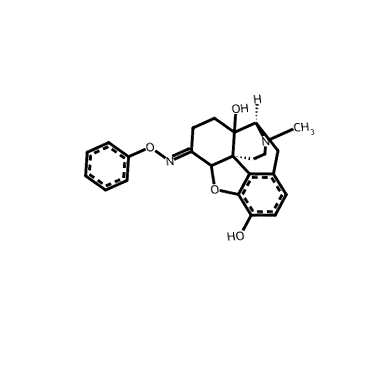 CN1CC[C@]23c4c5ccc(O)c4OC2C(=NOc2ccccc2)CCC3(O)[C@H]1C5